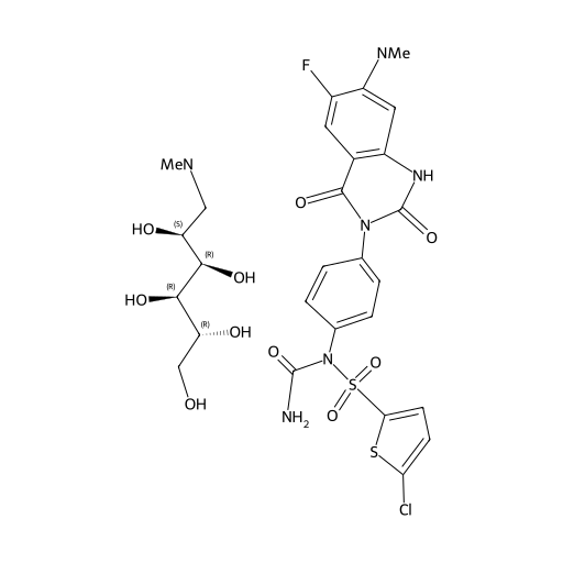 CNC[C@H](O)[C@@H](O)[C@H](O)[C@H](O)CO.CNc1cc2[nH]c(=O)n(-c3ccc(N(C(N)=O)S(=O)(=O)c4ccc(Cl)s4)cc3)c(=O)c2cc1F